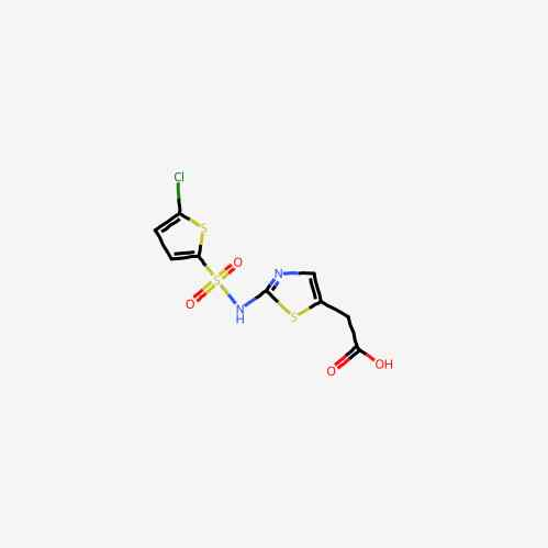 O=C(O)Cc1cnc(NS(=O)(=O)c2ccc(Cl)s2)s1